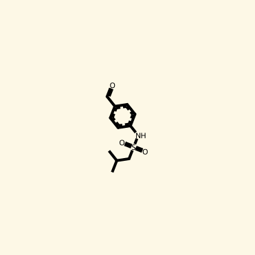 CC(C)CS(=O)(=O)Nc1ccc(C=O)cc1